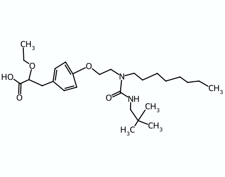 CCCCCCCCN(CCOc1ccc(CC(OCC)C(=O)O)cc1)C(=O)NCC(C)(C)C